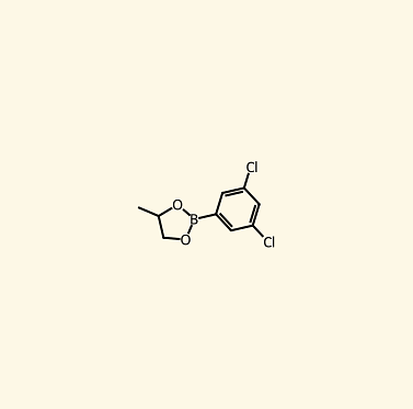 CC1COB(c2cc(Cl)cc(Cl)c2)O1